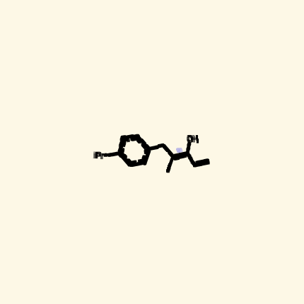 C=C/C(O)=C(\C)Cc1ccc(C(C)C)cc1